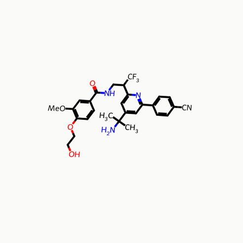 COc1cc(C(=O)NCC(c2cc(C(C)(C)N)cc(-c3ccc(C#N)cc3)n2)C(F)(F)F)ccc1OCCO